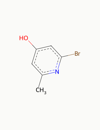 Cc1cc(O)cc(Br)n1